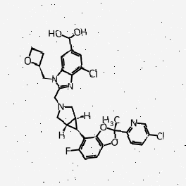 C[C@@]1(c2ccc(Cl)cn2)Oc2ccc(F)c([C@H]3[C@@H]4CN(Cc5nc6c(Cl)cc(C(O)O)cc6n5C[C@@H]5CCO5)C[C@@H]43)c2O1